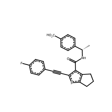 C[C@H](NC(=O)c1c(C#Cc2ccc(F)cc2)sc2c1CCC2)c1ccc(C(=O)O)cc1